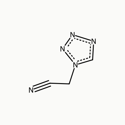 N#CCn1cnnn1